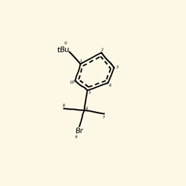 CC(C)(C)c1cccc(C(C)(C)Br)c1